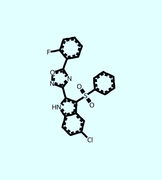 O=S(=O)(c1ccccc1)c1c(-c2noc(-c3ccccc3F)n2)[nH]c2ccc(Cl)cc12